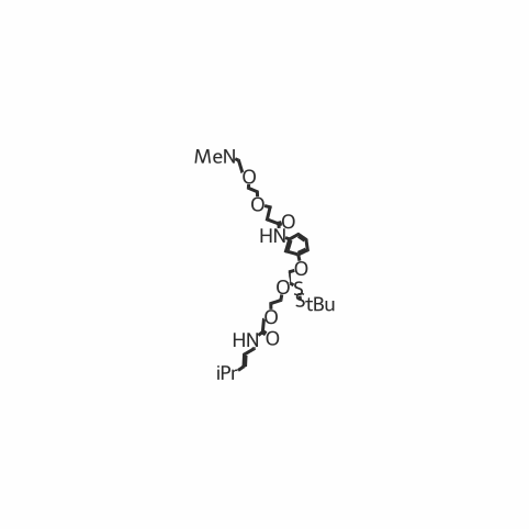 CNCCOCCOCCC(=O)Nc1cccc(OC[C@H](OCCOCC(=O)NC/C=C/C(C)C)SSC(C)(C)C)c1